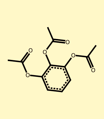 CC(=O)Oc1cccc(OC(C)=O)c1OC(C)=O